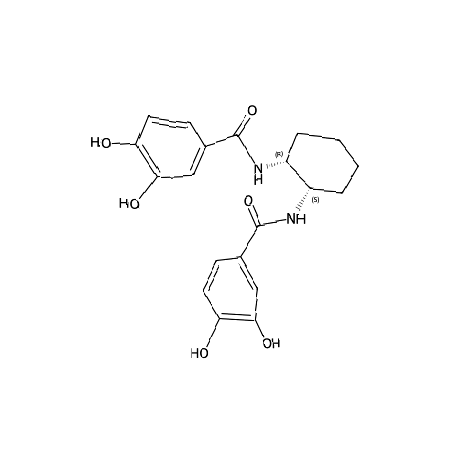 O=C(N[C@H]1CCCC[C@H]1NC(=O)c1ccc(O)c(O)c1)c1ccc(O)c(O)c1